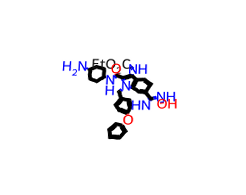 CCOC(=O)Nc1c(C(=O)N[C@H]2CC[C@H](N)CC2)n(Cc2ccc(Oc3ccccc3)cc2)c2cc(C(=N)NO)ccc12